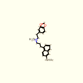 CC(=O)Nc1ccc2c(CCCN(C)CCc3ccc4c(c3)OCO4)cccc2c1